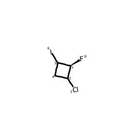 F[C@H]1C(Cl)CC1I